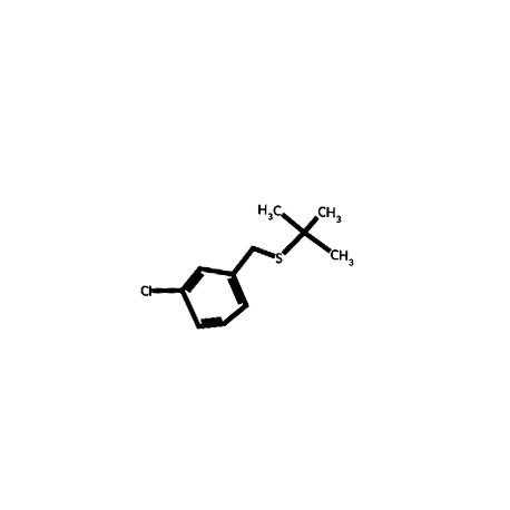 CC(C)(C)SCc1cccc(Cl)c1